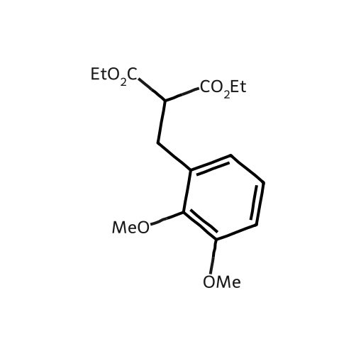 CCOC(=O)C(Cc1cccc(OC)c1OC)C(=O)OCC